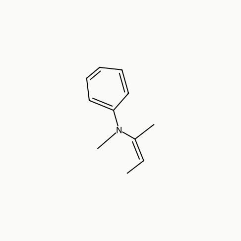 C/C=C(/C)N(C)c1ccccc1